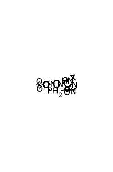 Cc1oc2ncnc(NC3(C)CC3)c2c1C(=O)N1CCN(c2ccc(S(C)(=O)=O)cc2P)CC1